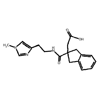 Cn1cnc(CCNC(=O)C2(CC(=O)O)Cc3ccccc3C2)c1